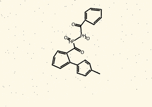 Cc1ccc(-c2ccccc2C(=O)[PH](=O)[PH](=O)C(=O)c2ccccc2)cc1